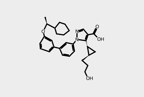 C[C@H](Oc1cccc(-c2cccc(-n3ncc(C(=O)O)c3[C@@H]3C[C@H]3CCCO)c2)c1)C1CCCCC1